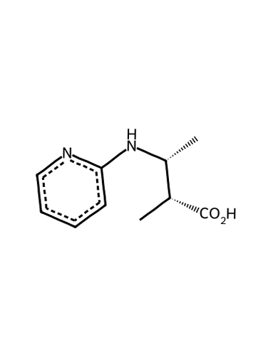 C[C@@H](Nc1ccccn1)[C@@H](C)C(=O)O